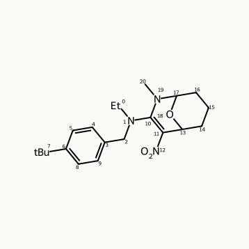 CCN(Cc1ccc(C(C)(C)C)cc1)C1=C([N+](=O)[O-])C2CCCC(O2)N1C